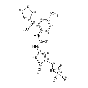 Cc1ccc(NC(=O)Nc2nc(CNS(C)(=O)=O)c(Cl)s2)c(C(=O)C2CCCC2)c1